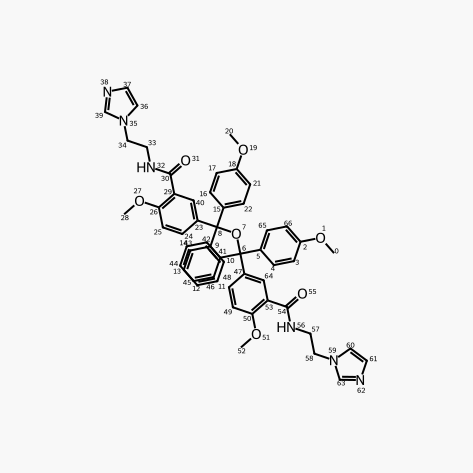 COc1ccc(C(OC(c2ccccc2)(c2ccc(OC)cc2)c2ccc(OC)c(C(=O)NCCn3ccnc3)c2)(c2ccccc2)c2ccc(OC)c(C(=O)NCCn3ccnc3)c2)cc1